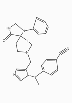 CC(c1ccc(C#N)cc1)n1cncc1CN1CCC2(CC1)C(=O)NCN2c1ccccc1